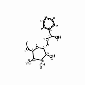 CO[C@H]1O[C@H](COB(O)c2ccccc2)[C@@H](O)[C@H](O)[C@H]1O